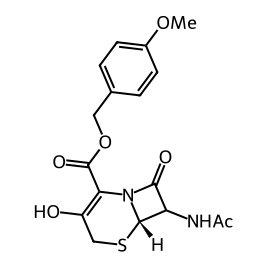 COc1ccc(COC(=O)C2=C(O)CS[C@H]3C(NC(C)=O)C(=O)N23)cc1